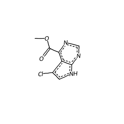 COC(=O)c1ncnc2[nH]cc(Cl)c12